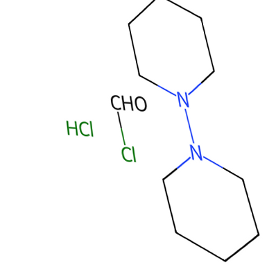 C1CCN(N2CCCCC2)CC1.Cl.O=CCl